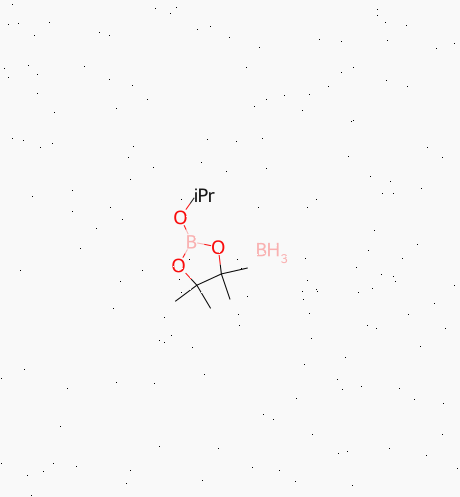 B.CC(C)OB1OC(C)(C)C(C)(C)O1